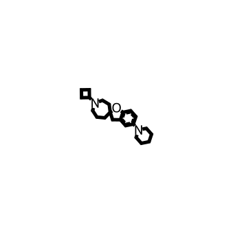 c1cc2c(cc1N1CCCCC1)CC1(CCCN(C3CCC3)CC1)O2